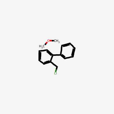 COC.ClCc1ccccc1-c1ccccc1